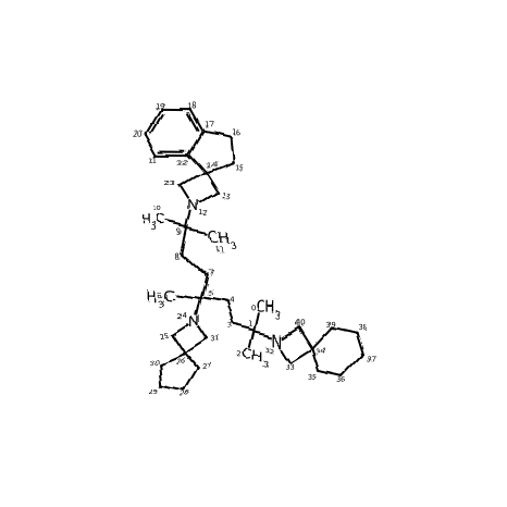 CC(C)(CCC(C)(CCC(C)(C)N1CC2(CCc3ccccc32)C1)N1CC2(CCCC2)C1)N1CC2(CCCCC2)C1